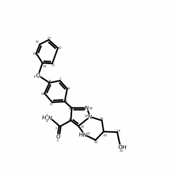 NC(=O)c1c(-c2ccc(Oc3ccccc3)cc2)nn2c1NCC(CO)C2